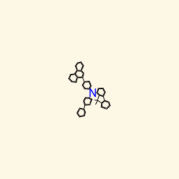 CC1(C)c2ccccc2-c2cccc(N(c3ccc(-c4ccccc4)cc3)c3ccc(-c4cc5ccccc5c5ccccc45)cc3)c21